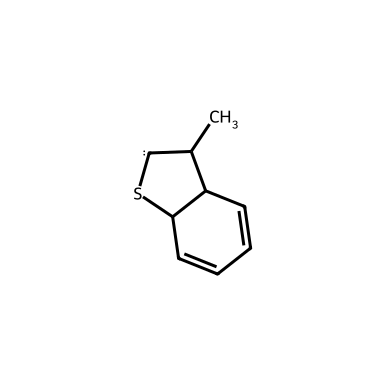 CC1[C]SC2C=CC=CC12